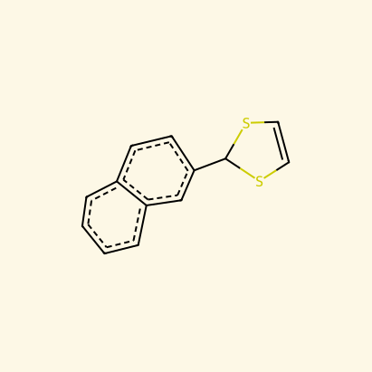 C1=CSC(c2ccc3ccccc3c2)S1